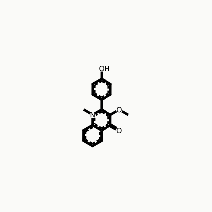 COc1c(-c2ccc(O)cc2)n(C)c2ccccc2c1=O